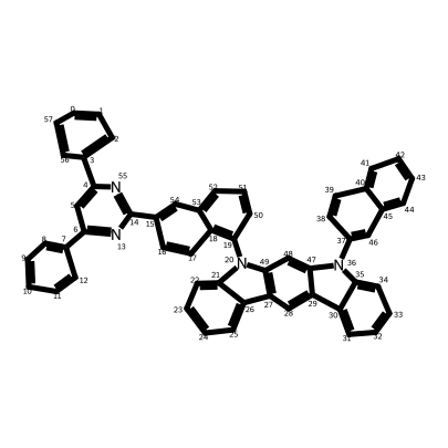 c1ccc(-c2cc(-c3ccccc3)nc(-c3ccc4c(-n5c6ccccc6c6cc7c8ccccc8n(-c8ccc9ccccc9c8)c7cc65)cccc4c3)n2)cc1